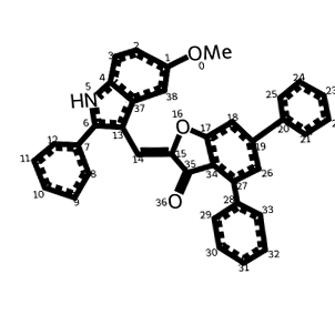 COc1ccc2[nH]c(-c3ccccc3)c(/C=C3\Oc4cc(-c5[c]cccc5)cc(-c5[c]cccc5)c4C3=O)c2c1